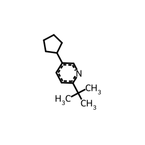 CC(C)(C)c1ccc(C2CCCC2)cn1